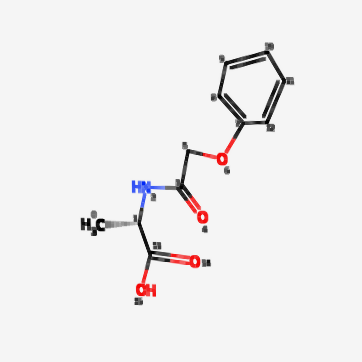 C[C@H](NC(=O)COc1ccccc1)C(=O)O